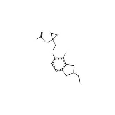 O=C(O)NC1(COc2ccc3c(c2Br)CC(CO)C3)CC1